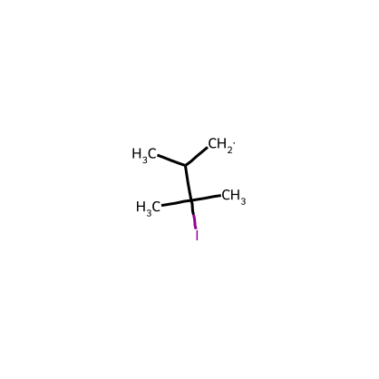 [CH2]C(C)C(C)(C)I